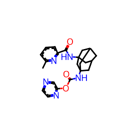 Cc1cccc(C(=O)NC23CC4CC(CC(NC(=O)Oc5cnccn5)(C4)C2)C3)n1